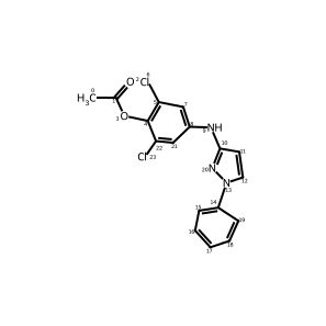 CC(=O)Oc1c(Cl)cc(Nc2ccn(-c3ccccc3)n2)cc1Cl